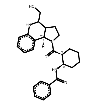 O=C(N[C@@H]1CCCC[C@@H]1C(=O)N1CCC2C(CO)Nc3ccccc3[C@@H]21)c1ccccc1